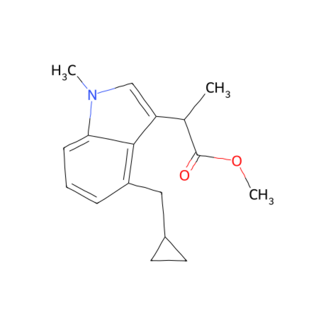 COC(=O)C(C)c1cn(C)c2cccc(CC3CC3)c12